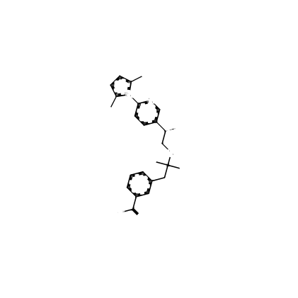 Cc1ccc(C)n1-c1ccc([C@@H](O)CNC(C)(C)Cc2cccc(C(=O)O)c2)cn1